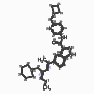 C=N/C=C(\C=C(/C)c1ccc2[nH]nc(C(=O)Nc3ccc(CN4CCC4)nc3)c2c1)CN1CCCCC1